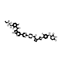 CCN(C)S(=O)(=O)Nc1ccc(F)c(C(=O)c2c[nH]c3ncc(-c4cnc(N5CCN(C(=O)C6CCC6C6CN(c7ccc(NC8CCC(=O)NC8=O)cc7F)C6)CC5)nc4)cc23)c1F